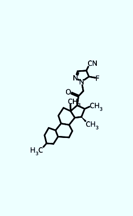 CC1CCC2C(CCC3C2CCC2(C)C(C(=O)CN4N=CC(C#N)C4F)C(C)[C@@H](C)C32)C1